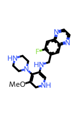 COC1=C(N2CCNCC2)C(NCc2cc3nccnc3cc2F)=CNC1